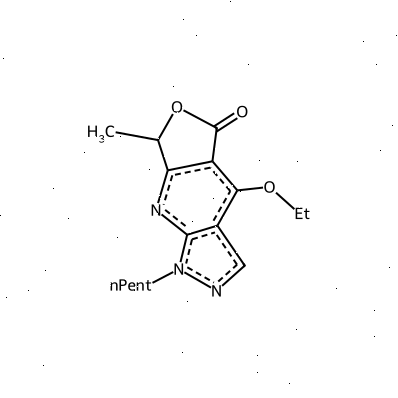 CCCCCn1ncc2c(OCC)c3c(nc21)C(C)OC3=O